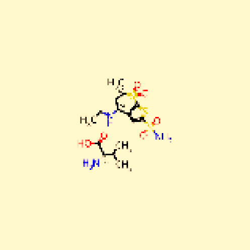 CC(C)[C@H](N)C(=O)O.CCN[C@H]1C[C@H](C)S(=O)(=O)c2sc(S(N)(=O)=O)cc21